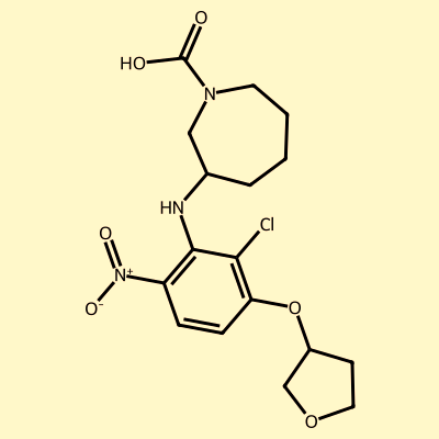 O=C(O)N1CCCCC(Nc2c([N+](=O)[O-])ccc(OC3CCOC3)c2Cl)C1